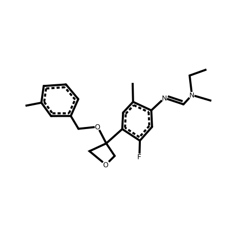 CCN(C)C=Nc1cc(F)c(C2(OCc3cccc(C)c3)COC2)cc1C